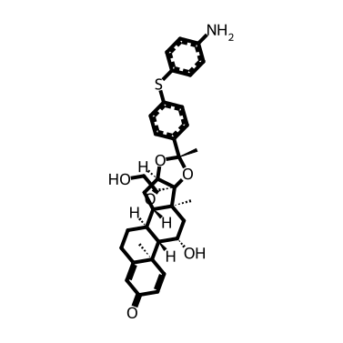 C[C@]1(c2ccc(Sc3ccc(N)cc3)cc2)O[C@@H]2C[C@H]3[C@@H]4CCC5=CC(=O)C=C[C@]5(C)[C@H]4[C@@H](O)C[C@]3(C)[C@]2(C(=O)CO)O1